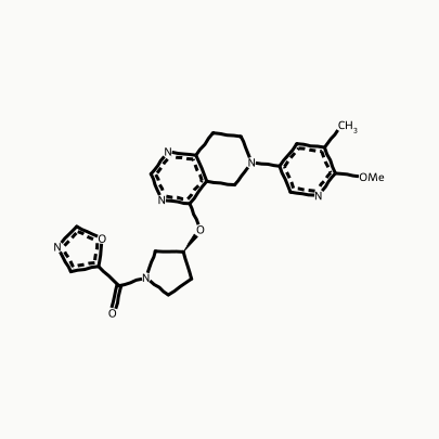 COc1ncc(N2CCc3ncnc(O[C@H]4CCN(C(=O)c5cnco5)C4)c3C2)cc1C